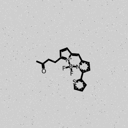 CC(=O)CCC1=[N+]2C(=Cc3ccc(-c4cccs4)n3[B-]2(F)F)C=C1